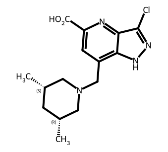 C[C@@H]1C[C@H](C)CN(Cc2cc(C(=O)O)nc3c(Cl)n[nH]c23)C1